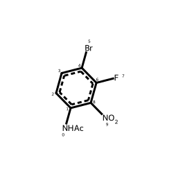 CC(=O)Nc1ccc(Br)c(F)c1[N+](=O)[O-]